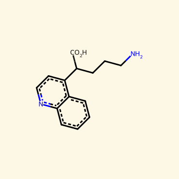 NCCCC(C(=O)O)c1ccnc2ccccc12